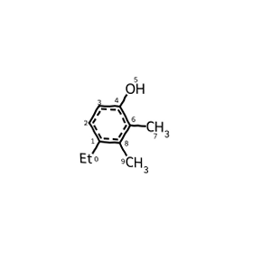 CCc1ccc(O)c(C)c1C